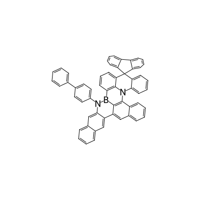 c1ccc(-c2ccc(N3B4c5cccc6c5N(c5ccccc5C65c6ccccc6-c6ccccc65)c5c4c(cc4ccccc54)-c4cc5ccccc5cc43)cc2)cc1